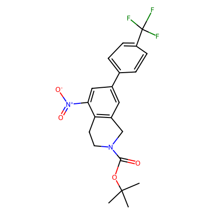 CC(C)(C)OC(=O)N1CCc2c(cc(-c3ccc(C(F)(F)F)cc3)cc2[N+](=O)[O-])C1